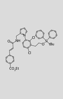 CCOC(=O)c1ccc(C=CC(=O)NCc2cccn2-c2ccc(Cl)c(CCO[Si](c3ccccc3)(c3ccccc3)C(C)(C)C)c2Cl)cc1